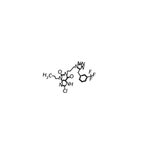 CCCn1c(=O)n(CCCn2nnnc2Cc2cccc(C(F)(F)F)c2)c(=O)c2[nH]c(Cl)nc21